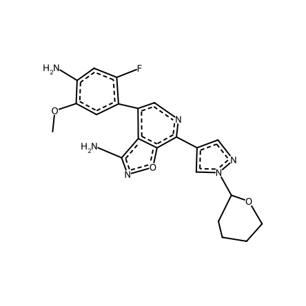 COc1cc(-c2cnc(-c3cnn(C4CCCCO4)c3)c3onc(N)c23)c(F)cc1N